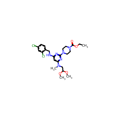 CCOC(=O)N1CCN(c2nc(NCc3ccc(Cl)cc3Cl)cc(N(C)CC(OC)OC)n2)CC1